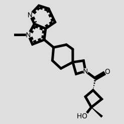 Cn1cc(C2CCC3(CC2)CN(C(=O)[C@H]2C[C@@](C)(O)C2)C3)c2cccnc21